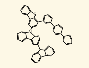 c1ccc(-c2ccc(-c3cccc(-c4cc(-n5c6ccccc6c6cc(C7c8ccccc8-c8ccccc87)ccc65)cc5c4sc4ccccc45)c3)cc2)cc1